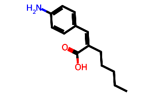 CCCCCC(=Cc1ccc(N)cc1)C(=O)O